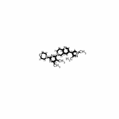 Cc1nn(C)cc1-c1cnc2c(c1)CN(c1nc(N3CCOCC3)nc(C)c1C)CC2